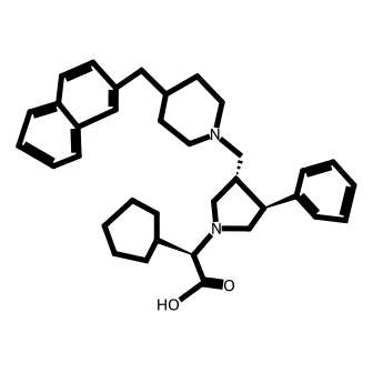 O=C(O)[C@@H](C1CCCCC1)N1C[C@H](CN2CCC(Cc3ccc4ccccc4c3)CC2)[C@@H](c2ccccc2)C1